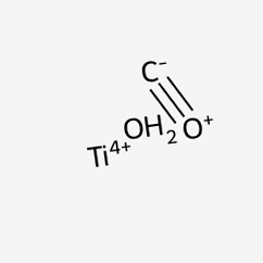 O.[C-]#[O+].[Ti+4]